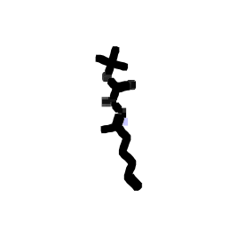 C=CCCC/C(C)=N/NC(=O)OC(C)(C)C